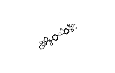 C[C@H]1CCCN1CC1CCCN1C(=O)c1ccc(OCc2ccc(S(=O)(=O)C(F)(F)F)cc2F)cc1